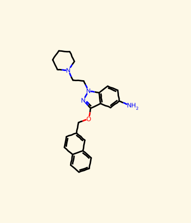 Nc1ccc2c(c1)c(OCc1ccc3ccccc3c1)nn2CCN1CCCCC1